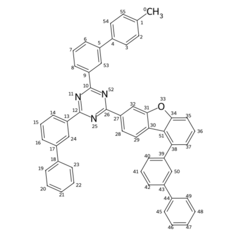 Cc1ccc(-c2cccc(-c3nc(-c4cccc(-c5ccccc5)c4)nc(-c4ccc5c(c4)oc4cccc(-c6cccc(-c7ccccc7)c6)c45)n3)c2)cc1